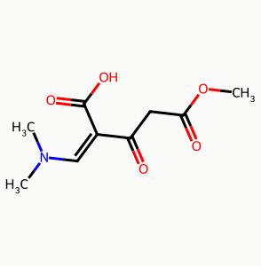 COC(=O)CC(=O)/C(=C/N(C)C)C(=O)O